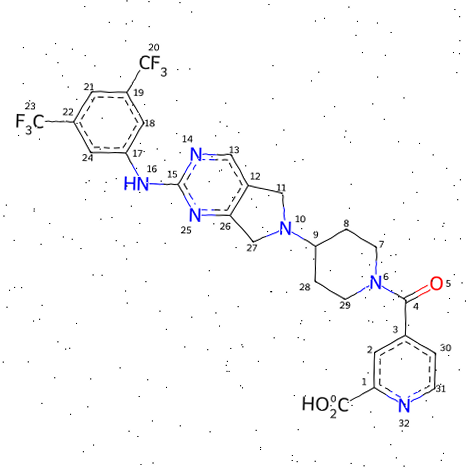 O=C(O)c1cc(C(=O)N2CCC(N3Cc4cnc(Nc5cc(C(F)(F)F)cc(C(F)(F)F)c5)nc4C3)CC2)ccn1